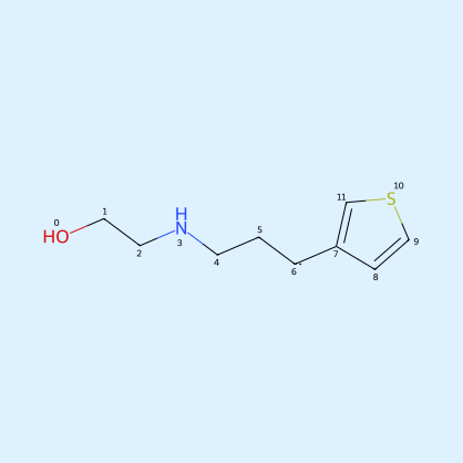 OCCNCC[CH]c1ccsc1